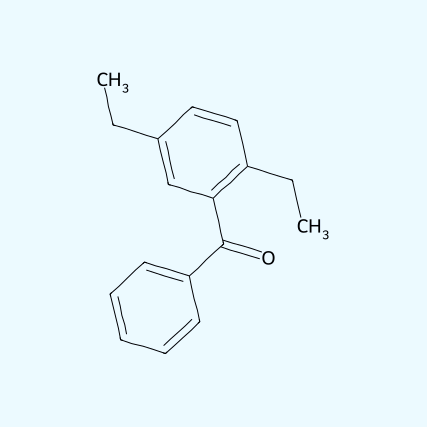 CCc1ccc(CC)c(C(=O)c2ccccc2)c1